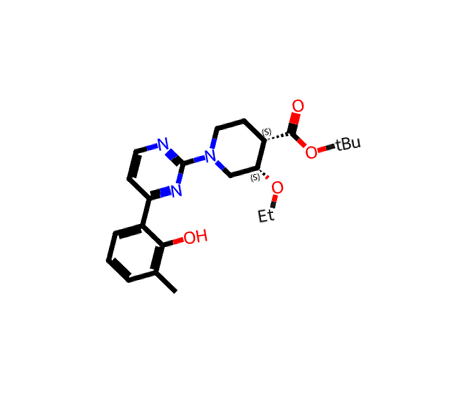 CCO[C@@H]1CN(c2nccc(-c3cccc(C)c3O)n2)CC[C@@H]1C(=O)OC(C)(C)C